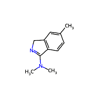 Cc1ccc2c(c1)CN=C2N(C)C